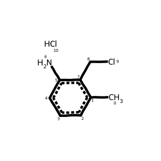 Cc1cccc(N)c1CCl.Cl